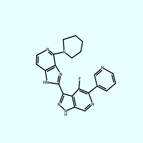 Fc1c(-c2cccnc2)ncc2[nH]nc(-c3nc4c(N5CCCCC5)nccc4[nH]3)c12